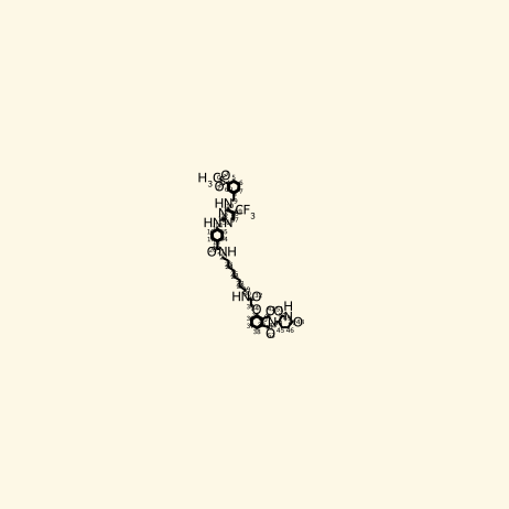 CS(=O)(=O)c1cccc(CNc2nc(Nc3ccc(C(=O)NCCCCCCCCNC(=O)COc4cccc5c4C(=O)N(C4CCC(=O)NC4=O)C5=O)cc3)ncc2C(F)(F)F)c1